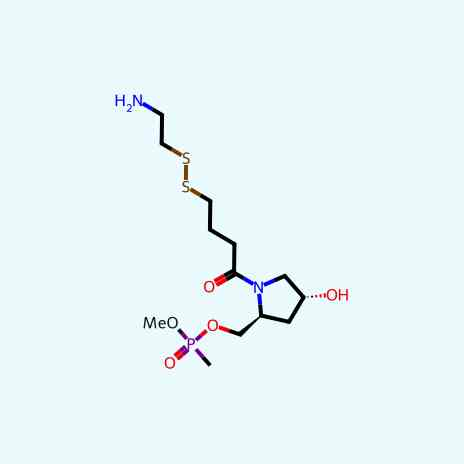 COP(C)(=O)OC[C@@H]1C[C@@H](O)CN1C(=O)CCCSSCCN